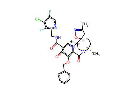 CC1=NO[C@@]2(CC[C@H](C)N3C[C@H]2n2cc(C(=O)NCc4ncc(F)c(Cl)c4F)c(=O)c(OCc4ccccc4)c2C3=O)C1